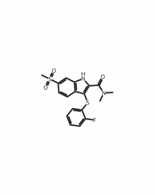 CN(C)C(=O)c1[nH]c2cc(S(C)(=O)=O)ccc2c1Sc1ccccc1F